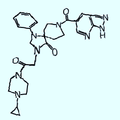 O=C(CN1CN(c2ccccc2)C2(CCN(C(=O)c3cnc4[nH]ncc4c3)CC2)C1=O)N1CCN(C2CC2)CC1